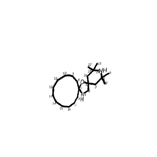 CC1(C)CC2(CNC3(CCCCCCCCCCC3)O2)CC(C)(C)N1